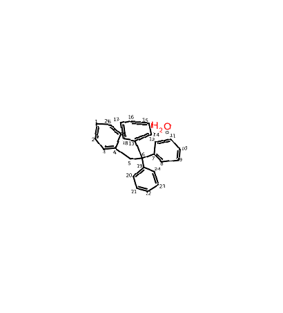 O.c1ccc(CC(c2ccccc2)(c2ccccc2)c2ccccc2)cc1